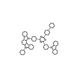 c1ccc(-c2ccc(-c3nc(-c4ccc(-n5c6ccccc6c6ccc7c(c8ccccc8n7-c7ccccc7)c65)cc4)nc(-c4cccc(-n5c6ccccc6c6ccccc65)c4)n3)cc2)cc1